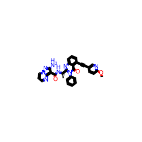 COc1ccc(C#Cc2cccc3nc([C@@H](C)NC(=O)c4c(N)nn5cccnc45)n(-c4ccccc4)c(=O)c23)cn1